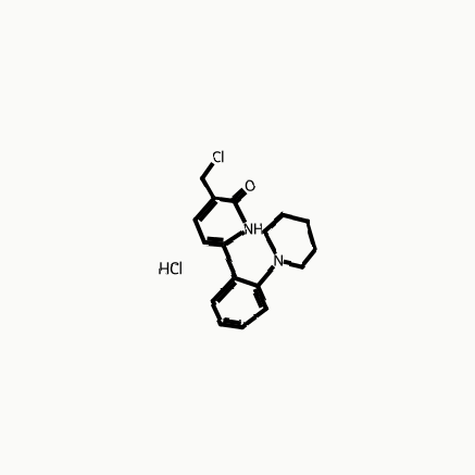 Cl.O=c1[nH]c(-c2ccccc2N2CCCCC2)ccc1CCl